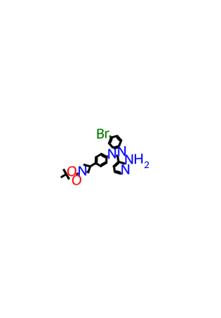 CC(C)(C)OC(=O)N1CC(c2ccc(-n3c(-c4cccnc4N)nc4ccc(Br)cc43)cc2)C1